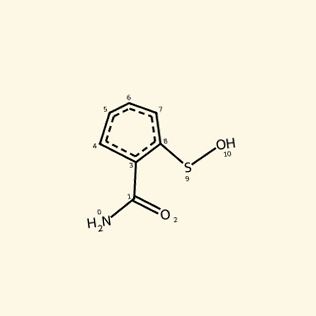 NC(=O)c1ccccc1SO